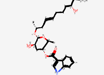 C[C@H](CCCCCC[C@@H](O)CC(=O)O)O[C@@H]1O[C@@H](C)[C@H](OC(=O)c2c[nH]c3ccccc23)C[C@H]1O